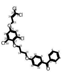 O=C(c1ccccc1)c1ccc(OCCCOc2c(Cl)cc(OCC=C(Cl)Cl)cc2Cl)cc1